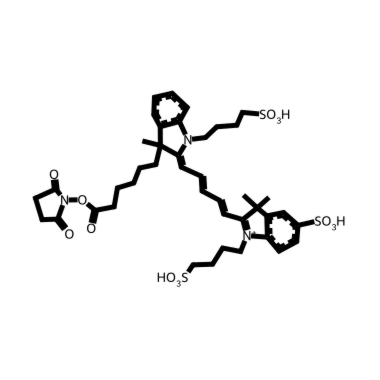 CC1(C)C(C=CC=CC=C2N(CCCCS(=O)(=O)O)c3ccccc3C2(C)CCCCCC(=O)ON2C(=O)CCC2=O)=[N+](CCCCS(=O)(=O)O)c2ccc(S(=O)(=O)O)cc21